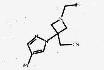 CC(C)CN1CC(CC#N)(n2cc(C(C)C)cn2)C1